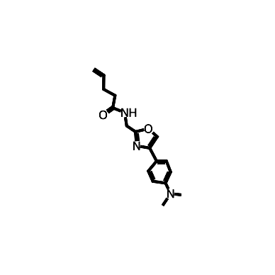 C=CCCC(=O)NCc1nc(-c2ccc(N(C)C)cc2)co1